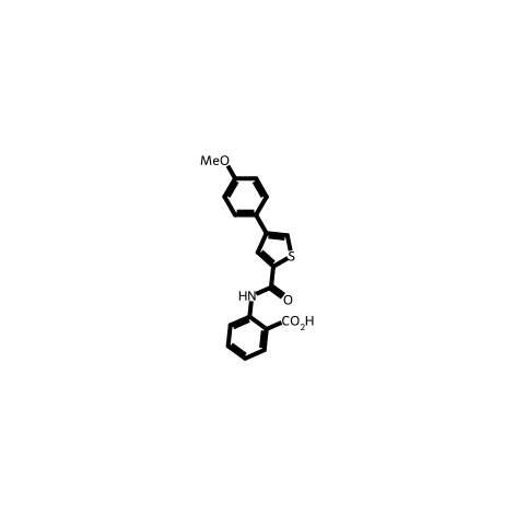 COc1ccc(-c2csc(C(=O)Nc3ccccc3C(=O)O)c2)cc1